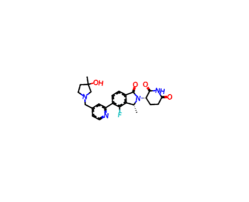 C[C@@H]1c2c(ccc(-c3cc(CN4CCC(C)(O)C4)ccn3)c2F)C(=O)N1[C@H]1CCC(=O)NC1=O